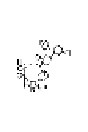 CCCn1ncc2c1-c1ccnc(c1)C(N1CCC(c3cc(Cl)ccc3-n3ccnn3)=CC1=O)CCC[C@@H](C)C(=O)N2